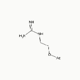 CC(=O)OCCNC(=N)N